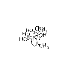 CC(C)(O)C(C)(C)O.CN1CC=C(B(O)O)CC1